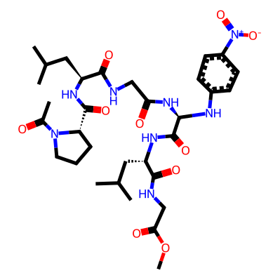 COC(=O)CNC(=O)[C@H](CC(C)C)NC(=O)[C@@H](NC(=O)CNC(=O)[C@H](CC(C)C)NC(=O)[C@@H]1CCCN1C(C)=O)Nc1ccc([N+](=O)[O-])cc1